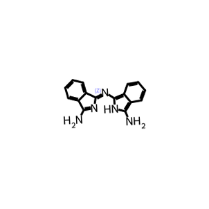 NC1=N/C(=N\c2[nH]c(N)c3ccccc23)c2ccccc21